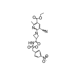 CCOC(=O)c1cc(C#N)c(N2CC(C(=O)NS(=O)(=O)Cc3ccc([N+](=O)[O-])cc3)C2)nc1C